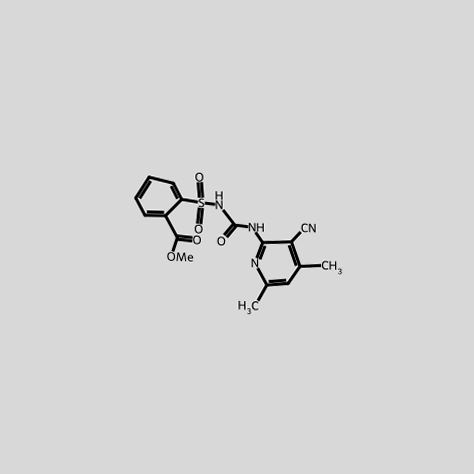 COC(=O)c1ccccc1S(=O)(=O)NC(=O)Nc1nc(C)cc(C)c1C#N